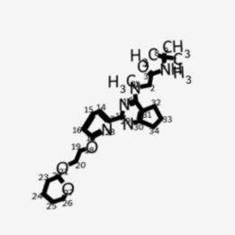 CN(CC(=O)NC(C)(C)C)c1nc(-c2cccc(OCCOC3CCCCO3)n2)nc2c1CCC2